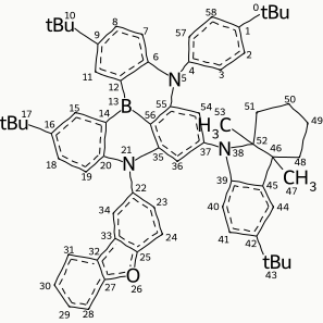 CC(C)(C)c1ccc(N2c3ccc(C(C)(C)C)cc3B3c4cc(C(C)(C)C)ccc4N(c4ccc5oc6ccccc6c5c4)c4cc(N5c6ccc(C(C)(C)C)cc6C6(C)CCCCC56C)cc2c43)cc1